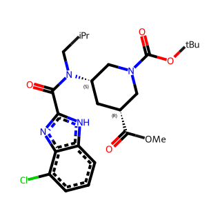 COC(=O)[C@@H]1C[C@H](N(CC(C)C)C(=O)c2nc3c(Cl)cccc3[nH]2)CN(C(=O)OC(C)(C)C)C1